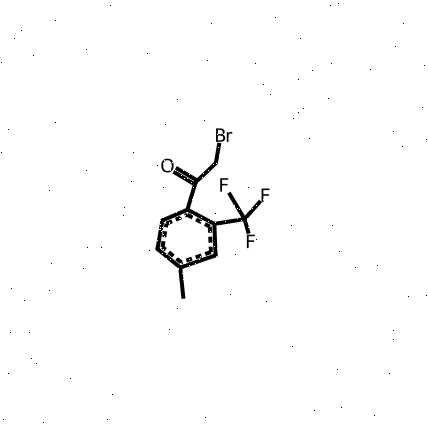 Cc1ccc(C(=O)CBr)c(C(F)(F)F)c1